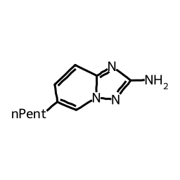 CCCCCc1ccc2nc(N)nn2c1